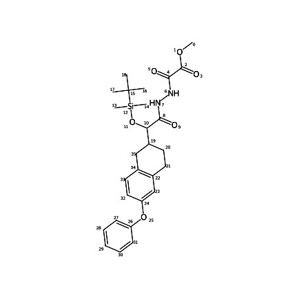 COC(=O)C(=O)NNC(=O)C(O[Si](C)(C)C(C)(C)C)C1CCc2cc(Oc3ccccc3)ccc2C1